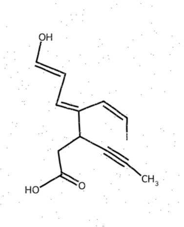 CC#CC(CC(=O)O)C(/C=C\I)=C/C=C/O